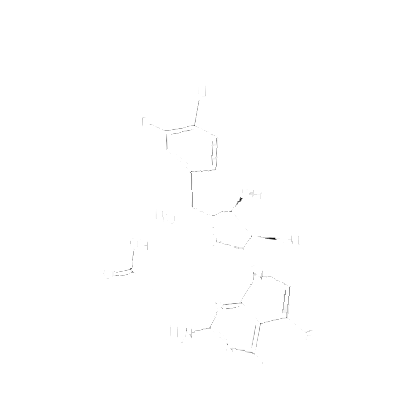 CC(=O)O.Cc1nc(N)nc2c1c(F)cn2[C@@H]1O[C@H]([C@H](O)c2ccc(Cl)c(F)c2)[C@@H](O)[C@H]1O